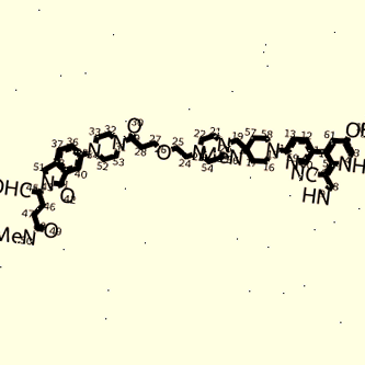 CCOC1=CN/C(=C(/C#N)C=N)C(c2ccc(N3CCC(CN4CCN(CCOCCC(=O)N5CCN(c6ccc7c(c6)C(=O)N(C(C=O)CCC(=O)NC)C7)CC5)CC4)(NC)CC3)nc2)=C1